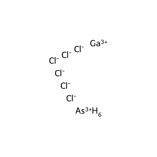 [AsH6+3].[Cl-].[Cl-].[Cl-].[Cl-].[Cl-].[Cl-].[Ga+3]